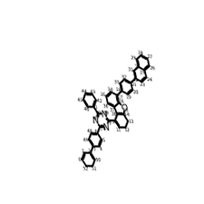 C1=CC(c2ccc(-c3nc(C4=CCCc5oc6c(-c7ccc(-c8ccc9ccccc9c8)cc7)cccc6c54)nc(-c4ccccc4)n3)cc2)=CCC1